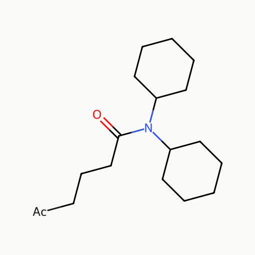 CC(=O)CCCC(=O)N(C1CCCCC1)C1CCCCC1